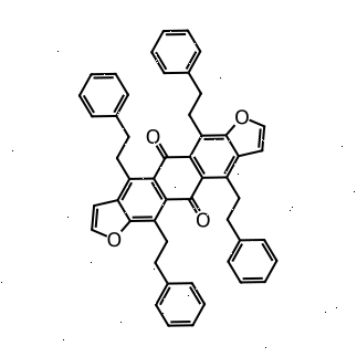 O=C1c2c(c(CCc3ccccc3)c3occc3c2CCc2ccccc2)C(=O)c2c1c(CCc1ccccc1)c1occc1c2CCc1ccccc1